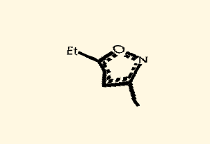 [CH2]Cc1cc(C)no1